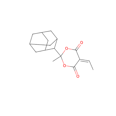 CC=C1C(=O)OC(C)(C2C3CC4CC(C3)CC2C4)OC1=O